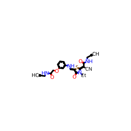 C#CCNC(=O)COc1cccc(NC=c2sc(=C(C#N)C(=O)NCC#C)n(CC)c2=O)c1